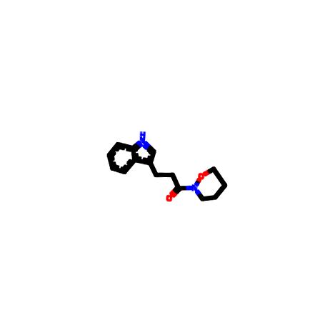 O=C(CCc1c[nH]c2ccccc12)N1CCCCO1